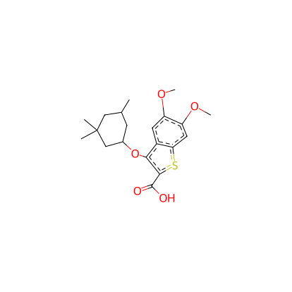 COc1cc2sc(C(=O)O)c(OC3CC(C)CC(C)(C)C3)c2cc1OC